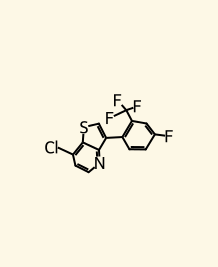 Fc1ccc(-c2csc3c(Cl)ccnc23)c(C(F)(F)F)c1